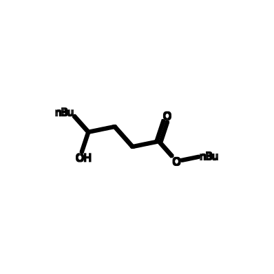 CCCCOC(=O)CCC(O)CCCC